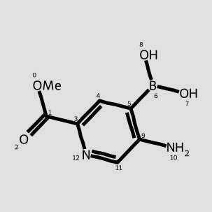 COC(=O)c1cc(B(O)O)c(N)cn1